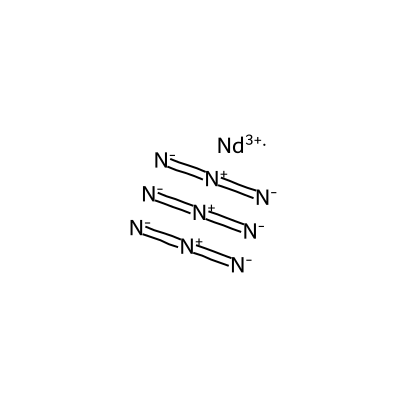 [N-]=[N+]=[N-].[N-]=[N+]=[N-].[N-]=[N+]=[N-].[Nd+3]